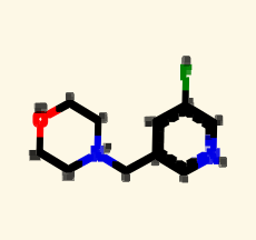 Fc1cncc(CN2CCOCC2)c1